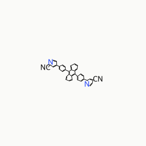 N#Cc1ccnc(-c2ccc(-c3c4ccccc4c(-c4ccc(-c5ccnc(C#N)c5)cc4)c4ccccc34)cc2)c1